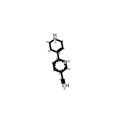 C#Cc1ccc(C2=CCNCC2)nc1